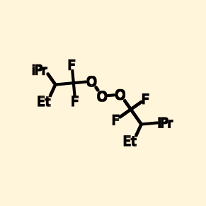 CCC(C(C)C)C(F)(F)OOOC(F)(F)C(CC)C(C)C